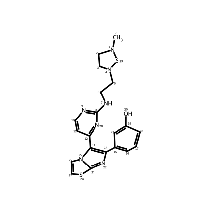 CN1CCN(CCNc2nccc(-c3c(-c4cccc(O)c4)nc4sccn34)n2)S1